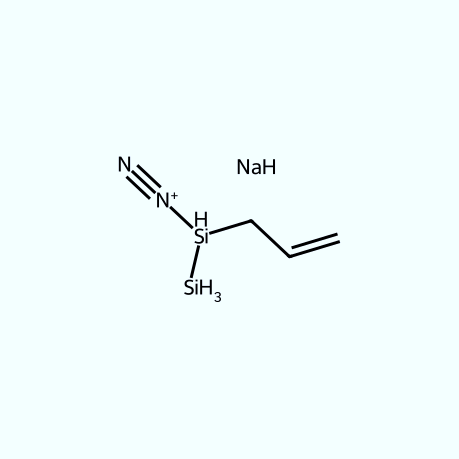 C=CC[SiH]([SiH3])[N+]#N.[NaH]